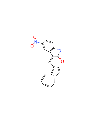 O=C1Nc2ccc([N+](=O)[O-])cc2/C1=C/c1ccc2cccccc1-2